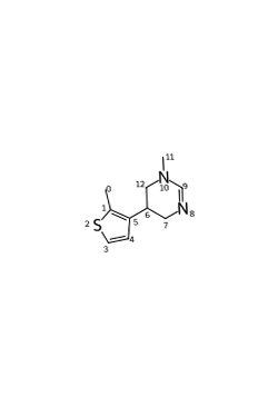 Cc1sccc1C1CN=CN(C)C1